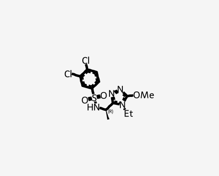 CCn1c(OC)nnc1[C@@H](C)NS(=O)(=O)c1ccc(Cl)c(Cl)c1